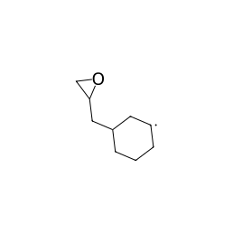 [CH]1CCCC(CC2CO2)C1